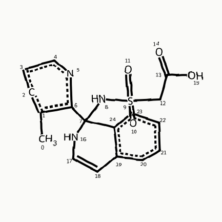 Cc1cccnc1C1(NS(=O)(=O)CC(=O)O)NC=Cc2cccnc21